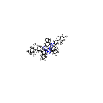 Cc1cc(C)c(-c2ccc3c(c2)c2ccccc2n3-c2cc(C#N)cc(-n3c4ccccc4c4cc(-c5c(C)cc(C)cc5C)ccc43)c2-c2nc(-c3ccccc3)nc(-c3ccccc3)n2)c(C)c1